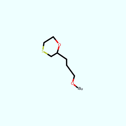 CCC(C)OCCCC1CSCCO1